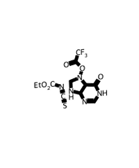 CCOC(=O)N=C=S.O=C1NC=NC2NCN(OC(=O)C(F)(F)F)C12